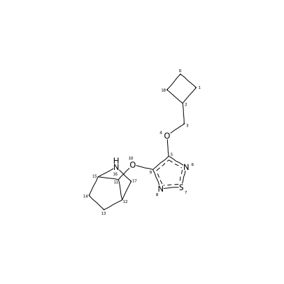 C1CC(COc2nsnc2OC2C3CCC2NC3)C1